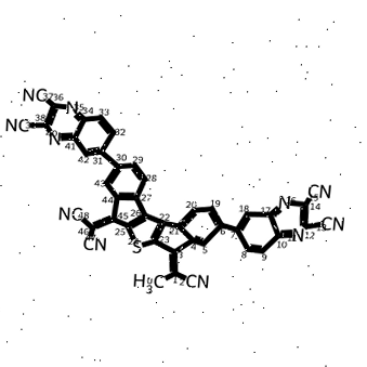 C/C(C#N)=C1/c2cc(-c3ccc4nc(C#N)c(C#N)nc4c3)ccc2-c2c1sc1c2-c2ccc(-c3ccc4nc(C#N)c(C#N)nc4c3)cc2C1=C(C#N)C#N